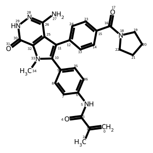 C=C(C)C(=O)Nc1ccc(-c2c(-c3ccc(C(=O)N4CCCC4)cc3)c3c(N)n[nH]c(=O)c3n2C)cc1